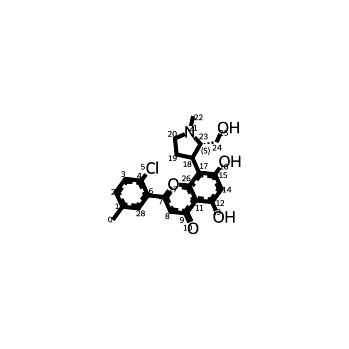 Cc1ccc(Cl)c(-c2cc(=O)c3c(O)cc(O)c(C4CCN(C)[C@@H]4CO)c3o2)c1